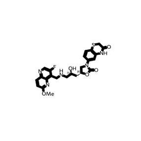 COc1ccc2ncc(F)c(CNC[C@@H](O)C[C@@H]3CN(c4ccc5c(c4)NC(=O)CS5)C(=O)O3)c2n1